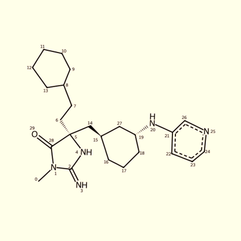 CN1C(=N)N[C@](CCC2CCCCC2)(C[C@@H]2CCC[C@@H](Nc3cccnc3)C2)C1=O